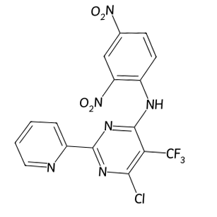 O=[N+]([O-])c1ccc(Nc2nc(-c3ccccn3)nc(Cl)c2C(F)(F)F)c([N+](=O)[O-])c1